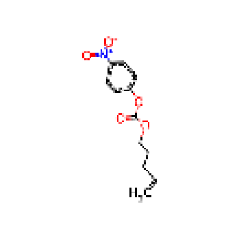 C=CCCCOC(=O)Oc1ccc([N+](=O)[O-])cc1